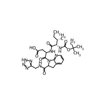 CC[C@H](C)[C@H](NC(=O)OC(C)(C)C)C(=O)NC(CC(=O)O)C(=O)N1c2ncccc2CC1C(=O)NCc1nn[nH]n1